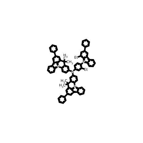 CCc1cc(N(c2ccc3c(c2)C(C)(C)c2cc(-c4ccccc4)cc4c5ccccc5n-3c24)c2ccc3c(c2)C(C)(C)c2cc(-c4ccccc4)cc4c5ccccc5n-3c24)ccc1-n1c2ccccc2c2cc(-c3ccccc3)cc(CC)c21